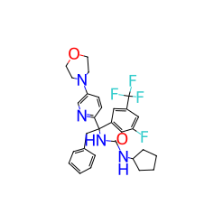 O=C(NC1CCCC1)NC(Cc1ccccc1)(c1cc(F)cc(C(F)(F)F)c1)c1ccc(N2CCOCC2)cn1